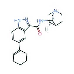 O=C(N[C@H]1CN2CCC1CC2)c1n[nH]c2ccc(C3=CCCCC3)cc12